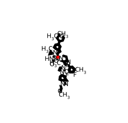 COCCn1ncc2c(F)c(-n3ccn(-c4c5c(nn4-c4ccc(F)c(C)c4)CCN(C(=O)c4cc6cc(C7CCOC(C)(C)C7)ccc6n4[C@@]4(c6noc(=O)[nH]6)C[C@@H]4C)[C@H]5C)c3=O)ccc21